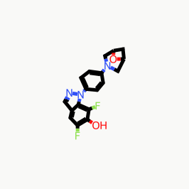 Oc1c(F)cc2cnn(-c3ccc(N4CC5CC(C4)O5)cc3)c2c1F